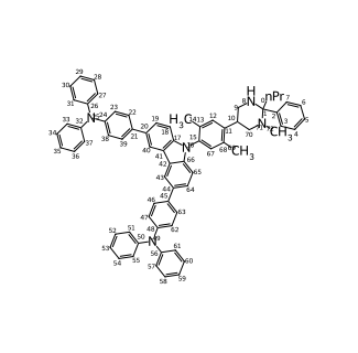 CCCC1(c2ccccc2)NCC(c2cc(C)c(-n3c4ccc(-c5ccc(N(c6ccccc6)c6ccccc6)cc5)cc4c4cc(-c5ccc(N(c6ccccc6)c6ccccc6)cc5)ccc43)cc2C)CN1C